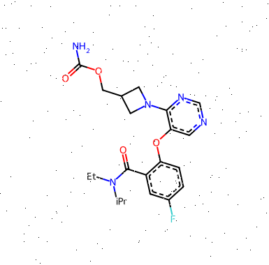 CCN(C(=O)c1cc(F)ccc1Oc1cncnc1N1CC(COC(N)=O)C1)C(C)C